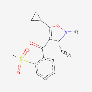 CCN1OC(C2CC2)=C(C(=O)c2ccccc2S(C)(=O)=O)C1C(=O)O